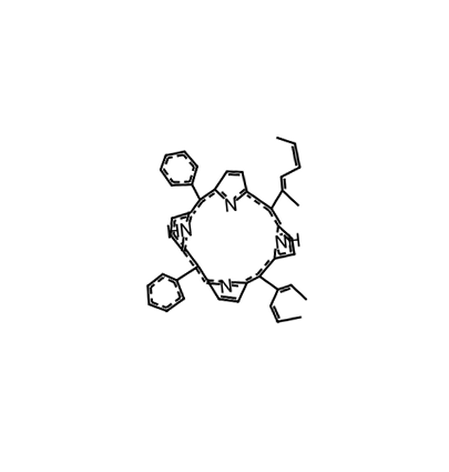 C/C=C\C=C(/C)c1c2nc(c(-c3ccccc3)c3ccc([nH]3)c(-c3ccccc3)c3nc(c(C(/C=C\C)=C/C)c4ccc1[nH]4)C=C3)C=C2